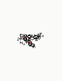 CCOc1cc(C(C(=O)N2CCC(C(=O)OC(=O)C(F)(F)F)C2)(c2cc(NC(C)=O)ccc2S(=O)(=O)C(C)C)N(N)c2ccc3cnccc3c2)ccc1OC(C)C